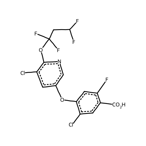 O=C(O)c1cc(Cl)c(Oc2cnc(OC(F)(F)CC(F)F)c(Cl)c2)cc1F